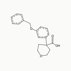 O=C(O)C1(c2cccc(OCc3ccccc3)c2)CCOCC1